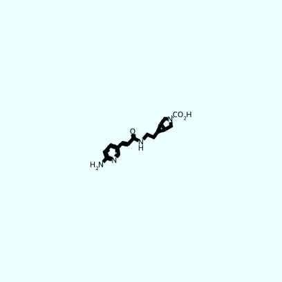 Nc1ccc(/C=C/C(=O)NCCC2C3CN(C(=O)O)CC23)cn1